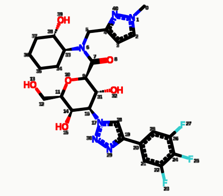 Cn1ccc(CN(C(=O)[C@@H]2O[C@H](CO)[C@H](O)[C@H](n3cc(-c4cc(F)c(F)c(F)c4)nn3)[C@H]2O)[C@H]2CCCC[C@@H]2O)n1